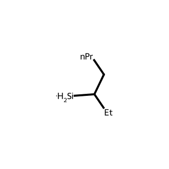 CCCCC([SiH2])CC